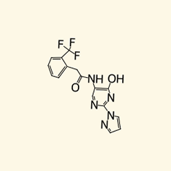 O=C(Cc1ccccc1C(F)(F)F)Nc1cnc(-n2cccn2)nc1O